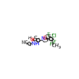 Cc1cc(C2=NO[C@@](c3cc(C(C)(F)F)cc(Cl)c3F)(C(F)(F)F)CCC2)ccc1C(=O)N[C@@H]1CC[C@H](C#N)C1